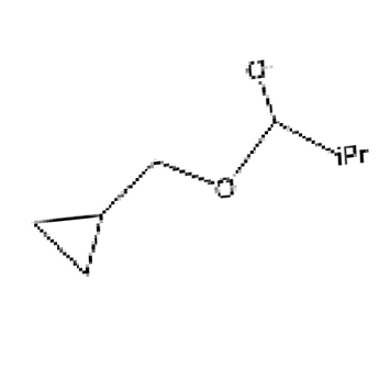 CC(C)C([O])OCC1CC1